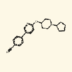 N#Cc1ccc(-c2ccc(OC3CCN(C4CCCC4)CC3)nc2)cc1